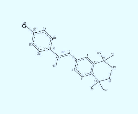 C/C(=C\c1ccc2c(c1)C(C)(C)CCC2(C)C)c1ccc(Cl)cc1